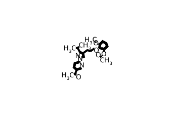 COc1cccc(OC(C)=O)c1OCCCc1cn(-c2ccc(C(C)=O)cn2)nc1C(C)C